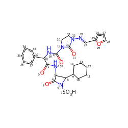 O=C(NC1C(=O)N(S(=O)(=O)O)C1C1CCCCC1)C(NC(=O)N1CCN(N=Cc2ccco2)C1=O)c1ccccc1